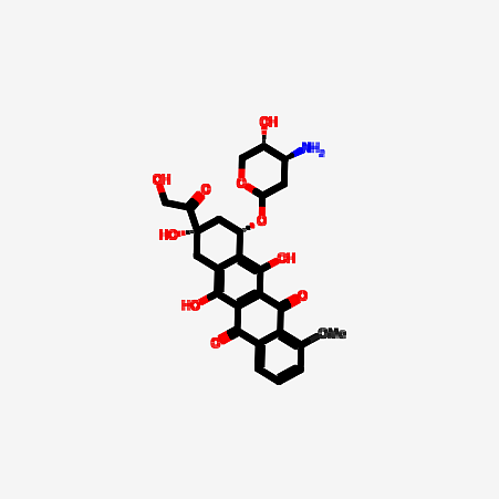 COc1cccc2c1C(=O)c1c(O)c3c(c(O)c1C2=O)C[C@@](O)(C(=O)CO)C[C@@H]3OC1C[C@H](N)[C@@H](O)CO1